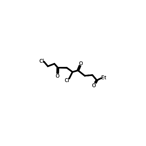 CCC(=O)CCC(=O)C(Cl)CC(=O)CCCl